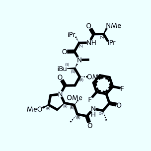 CC[C@H](C)[C@@H]([C@@H](CC(=O)N1C[C@H](OC)C[C@@H]1[C@H](OC)[C@@H](C)C(=O)N[C@@H](C)C(=O)c1c(F)cccc1F)OC)N(C)C(=O)[C@@H](NC(=O)[C@@H](NC)C(C)C)C(C)C